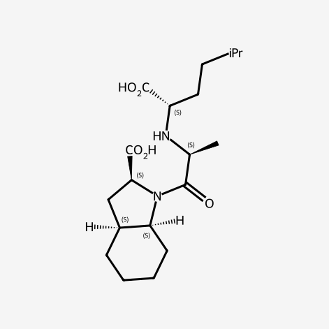 CC(C)CC[C@H](N[C@@H](C)C(=O)N1[C@H](C(=O)O)C[C@@H]2CCCC[C@@H]21)C(=O)O